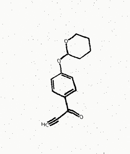 C#CC(=O)c1ccc(OC2CCCCO2)cc1